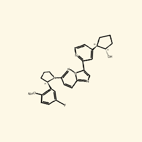 COc1ccc(F)cc1[C@H]1CCCN1c1ccc2ncc(-c3cc([C@H]4CCC[C@@H]4O)ccn3)n2n1